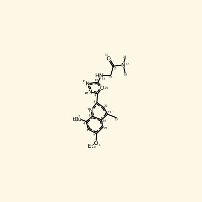 CCOc1cc(C(C)(C)C)c2nc(-c3nnc(NCC(=O)N(C)C)o3)cc(C)c2c1